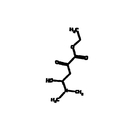 CCOC(=O)C(=O)CC(O)N(C)C